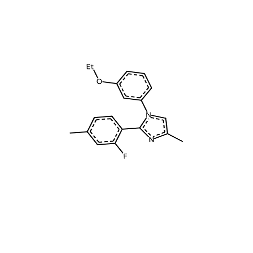 CCOc1cccc(-n2cc(C)nc2-c2ccc(C)cc2F)c1